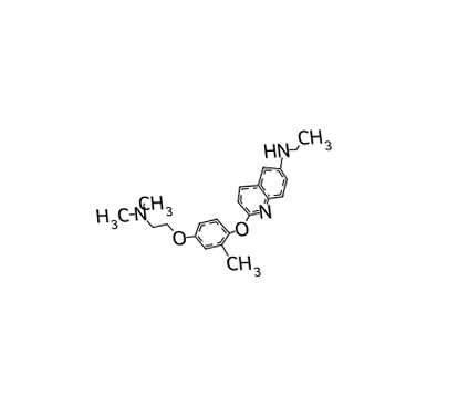 CCNc1ccc2nc(Oc3ccc(OCCN(C)C)cc3C)ccc2c1